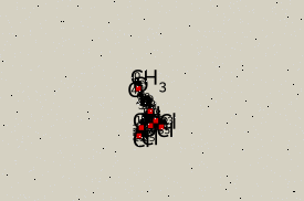 CCOC(=O)CCc1ccc(Cc2ccc(N(C(=O)c3ccc(Cl)c(Cl)c3)C(=O)c3ccc(Cl)c(Cl)c3)cn2)cc1